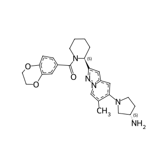 Cc1cn2nc([C@@H]3CCCCN3C(=O)c3ccc4c(c3)OCCO4)cc2cc1N1CC[C@H](N)C1